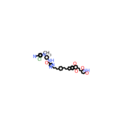 CN(c1ccc(C#N)c(Cl)c1)[C@H]1CC[C@H](NC(=O)c2cnc(CCCC3CCC(CCC4Cc5cc6c(cc5C4)C(=O)C(CCC4CCC(=O)NC4=O)CC6=O)CC3)nc2)CC1